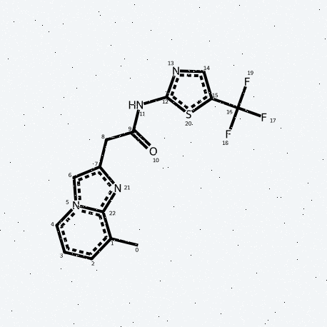 Cc1cccn2cc(CC(=O)Nc3ncc(C(F)(F)F)s3)nc12